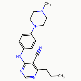 CCCc1ncnc(Nc2ccc(N3CCN(C)CC3)cc2)c1C#N